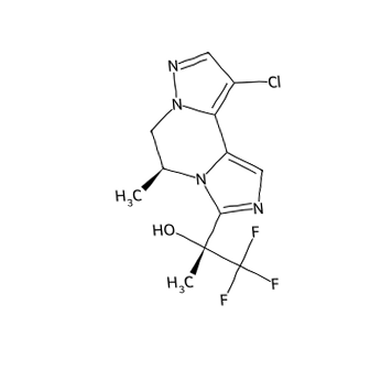 C[C@H]1Cn2ncc(Cl)c2-c2cnc([C@@](C)(O)C(F)(F)F)n21